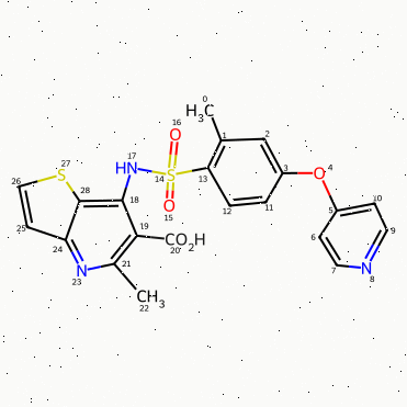 Cc1cc(Oc2ccncc2)ccc1S(=O)(=O)Nc1c(C(=O)O)c(C)nc2ccsc12